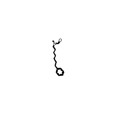 CN(C=O)CCCCCCCc1ccccc1